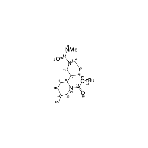 CNC(=O)N1CCCC(C2CCC(C)CN2C(=O)OC(C)(C)C)C1